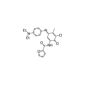 CCN(CC)c1ccc(N=C2C=C(NC(=O)c3ccco3)C(=O)C(Cl)=C2C)cc1